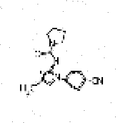 Cc1cn(-c2ccc(C#N)cc2)c(=NC(=O)N2CCCC2)s1